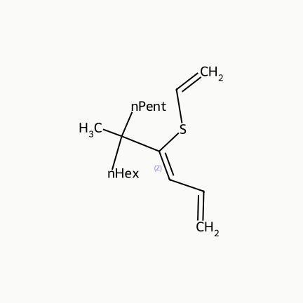 C=C/C=C(\SC=C)C(C)(CCCCC)CCCCCC